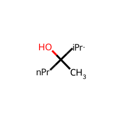 CCCC(C)(O)[C](C)C